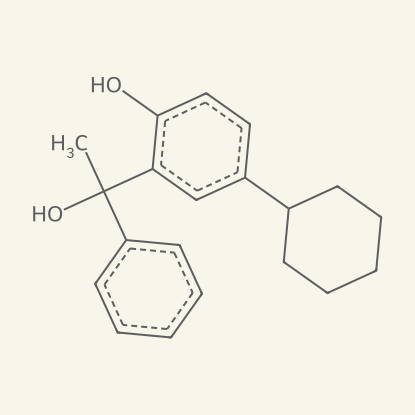 CC(O)(c1ccccc1)c1cc(C2CCCCC2)ccc1O